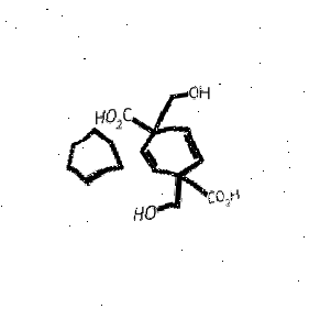 C1CCCCC1.O=C(O)C1(CO)C=CC(CO)(C(=O)O)C=C1